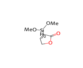 CO[SiH2]OC.O=C1C=CCO1